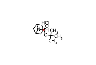 CC(C)(C)OC(=O)N1C2CNCC1C2.Cl